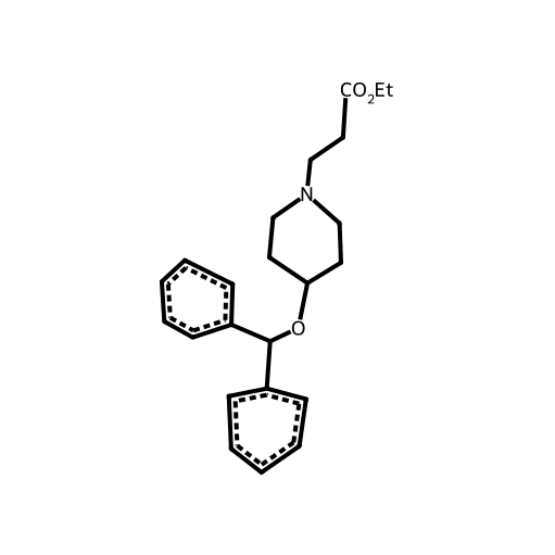 CCOC(=O)CCN1CCC(OC(c2ccccc2)c2ccccc2)CC1